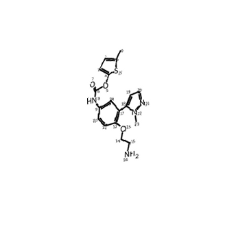 Cc1ccc(OC(=O)Nc2ccc(OCCN)c(-c3ccnn3C)c2)s1